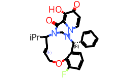 CC(C)C1/C=C/COc2c(F)cccc2[C@@H](c2ccccc2)N2CN1C(=O)c1c(O)c(=O)ccn12